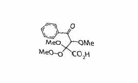 COOC(OC)(C(=O)O)C(OC)C(=O)c1ccccc1